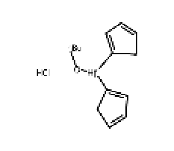 CCCC[O][Hf]([C]1=CC=CC1)[C]1=CC=CC1.Cl